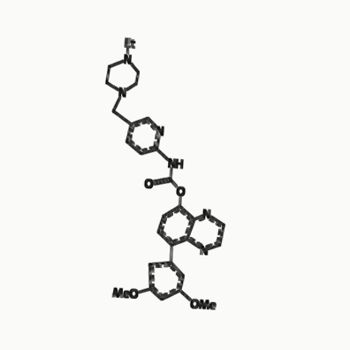 CCN1CCN(Cc2ccc(NC(=O)Oc3ccc(-c4cc(OC)cc(OC)c4)c4nccnc34)nc2)CC1